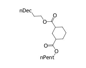 CCCCCCCCCCCCOC(=O)C1CCCC(C(=O)OCCCCC)C1